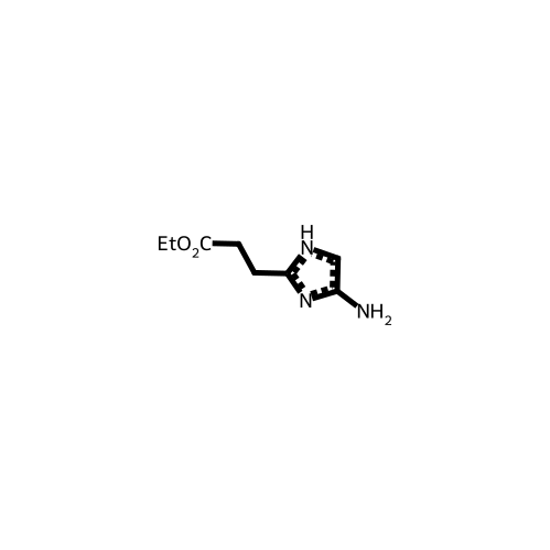 CCOC(=O)CCc1nc(N)c[nH]1